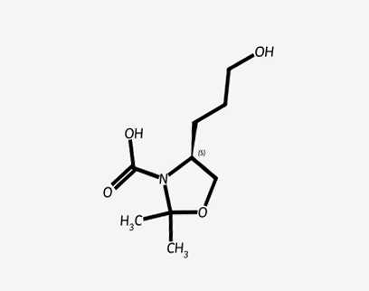 CC1(C)OC[C@H](CCCO)N1C(=O)O